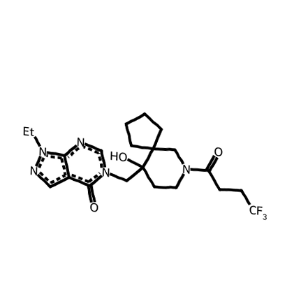 CCn1ncc2c(=O)n(CC3(O)CCN(C(=O)CCC(F)(F)F)CC34CCCC4)cnc21